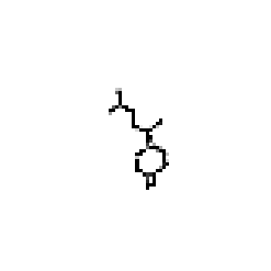 CC(C)CCC(C)N1CCNCC1